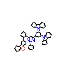 c1ccc(-c2nc(-c3cc(-n4c5ccccc5c5ccccc54)cc(-n4c5ccccc5c5ccccc54)c3)cc(-c3ccccc3-c3ccc4oc5ccccc5c4c3)n2)cc1